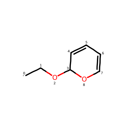 [CH2]COC1C=CC=CO1